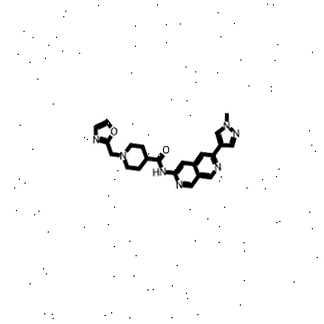 Cn1cc(-c2cc3cc(NC(=O)C4CCN(Cc5ncco5)CC4)ncc3cn2)cn1